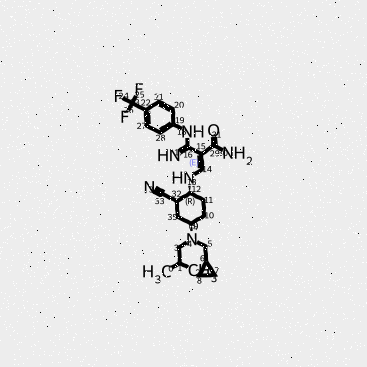 CC(C)CN(CC1CC1)[C@H]1CC[C@@H](N/C=C(\C(=N)Nc2ccc(C(F)(F)F)cc2)C(N)=O)C(C#N)C1